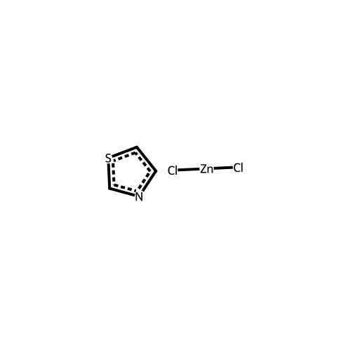 [Cl][Zn][Cl].c1cscn1